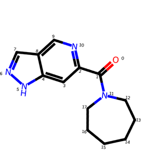 O=C(c1cc2[nH]ncc2cn1)N1CCCCCC1